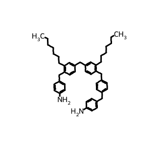 CCCCCCCc1cc(Cc2ccc(Cc3ccc(Cc4ccc(N)cc4)cc3)c(CCCCCCC)c2)ccc1Cc1ccc(N)cc1